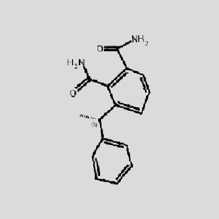 C[C@@H](c1ccccc1)c1cccc(C(N)=O)c1C(N)=O